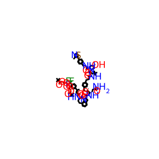 C/C(=C\C(=O)N[C@H]1CCc2cccc3c2N(C1=O)[C@H](C(=O)N[C@@H](CCC(N)=O)[C@@H](C)OCc1ccc(CCC(=O)N[C@H](C(=O)N2C[C@H](O)C[C@H]2C(=O)NCc2ccc(-c4scnc4C)cc2)C(C)(C)C)cc1)C3)c1ccc(C(F)(F)P(=O)(OCOC(=O)C(C)(C)C)OCOC(=O)C(C)(C)C)cc1